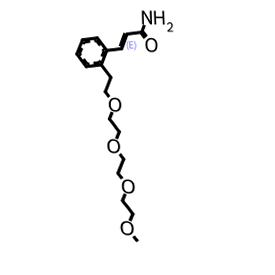 COCCOCCOCCOCCc1ccccc1/C=C/C(N)=O